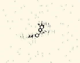 CSCCN(C)c1c(OC2CCC(NC(=O)OC(C)(C)C)CC2)ccc2c1CC(C)(C)c1c(N)ncnc1-2